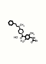 CCC(=O)Nc1cc(C)c(C(=O)N2CCC(N(C)CCc3ccccc3)CC2)cc1C.Cl